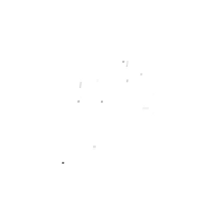 CC(=O)N1c2cc(OCCN3CCOCC3)[c]cc2C(C)(c2ccccc2)C(C(N)=O)C1(C)C